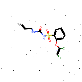 C=CCNC(=O)NS(=O)(=O)c1ccccc1O/C(Cl)=C/Cl